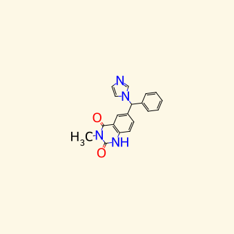 Cn1c(=O)[nH]c2ccc(C(c3ccccc3)n3ccnc3)cc2c1=O